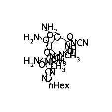 CCCCCCc1cnc2cc(C(=O)NC(CCN)C(=O)N(C)C3C(=O)NC(C)C(=O)NC(C(=O)NCC#N)Cc4ccc(OCCN)c(c4)-c4cc3ccc4OCCN)c(C)nc2c1